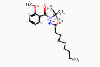 CCCCCCCCC(=O)NN(C(=O)c1ccccc1OC)C(C)(C)C